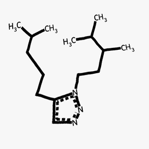 CC(C)CCCc1cnnn1CCC(C)C(C)C